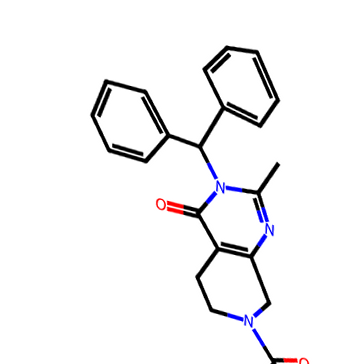 CCCC(C)C(=O)N1CCc2c(nc(C)n(C(c3ccccc3)c3ccccc3)c2=O)C1